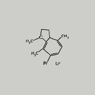 CC1=CC=C(C(C)C)C(C)=C2[C-](C)CCC12.[Li+]